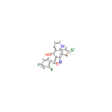 OC(c1cccnc1)c1c(-c2ccc(Cl)s2)noc1-c1ccc(F)cc1F